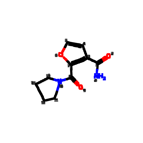 NC(=O)c1ccoc1C(=O)N1CCCC1